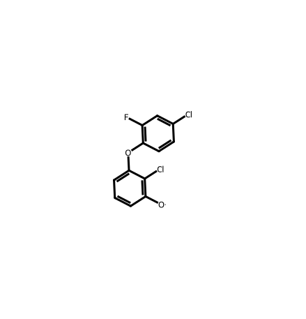 [O]c1cccc(Oc2ccc(Cl)cc2F)c1Cl